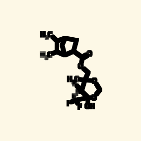 CC1C2CC(C(=O)OCC3(C)OCOC(O)(C(F)(F)F)C3(F)F)C(C2)C1C